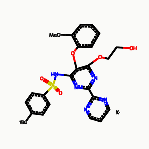 COc1ccccc1Oc1c(NS(=O)(=O)c2ccc(C(C)(C)C)cc2)nc(-c2ncccn2)nc1OCCO.[K]